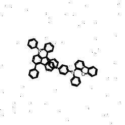 c1ccc(-c2ccc3c4c2-c2ccc(-c5ccc(N(c6ccccc6)c6cccc7c6oc6ccccc67)cc5)cc2C4(c2ccccc2)c2ccccc2N3c2ccccc2)cc1